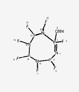 COP1(F)=NP(F)N(F)P(F)N(F)P(F)N1F